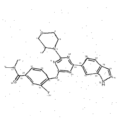 CC1COCCN1c1nc(Oc2ccc(C(=O)N(C)C)cc2F)nc(-c2ccc3cn[nH]c3c2)n1